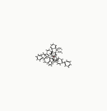 CC1(C)c2ccccc2-c2ccc(N(c3ccc(-c4ccccc4)cc3)c3cccc4c3C3(c5ccccc5-c5ccccc53)c3ccc5ccccc5c3S4)cc21